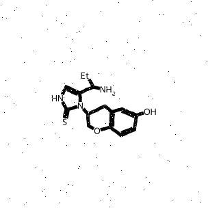 CCC(N)c1c[nH]c(=S)n1C1COc2ccc(O)cc2C1